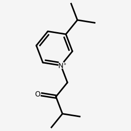 CC(C)C(=O)C[n+]1cccc(C(C)C)c1